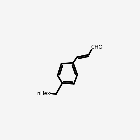 CCCCCCCc1ccc(C=CC=O)cc1